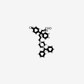 O=CNCC(CCCN1CCN(C(c2ccccc2)c2ccccc2)CC1)(c1ccccc1)c1ccc(Cl)cc1